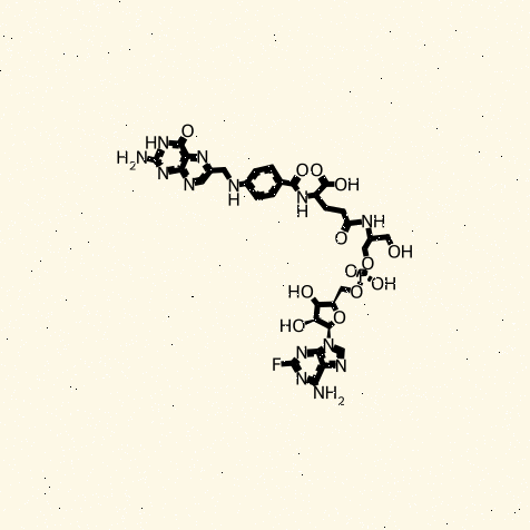 Nc1nc2ncc(CNc3ccc(C(=O)NC(CCC(=O)NC(CO)COP(=O)(O)OC[C@H]4O[C@@H](n5cnc6c(N)nc(F)nc65)[C@@H](O)C4O)C(=O)O)cc3)nc2c(=O)[nH]1